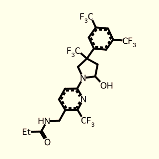 CCC(=O)NCc1ccc(N2CC(c3cc(C(F)(F)F)cc(C(F)(F)F)c3)(C(F)(F)F)CC2O)nc1C(F)(F)F